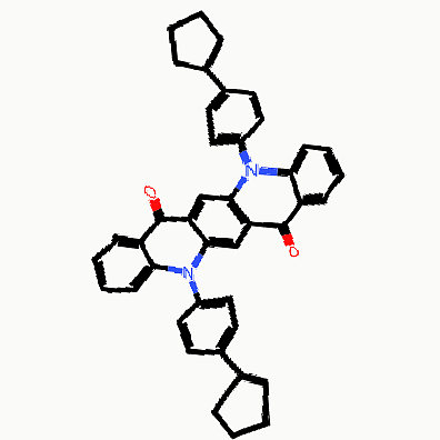 O=c1c2ccccc2n(-c2ccc(C3CCCC3)cc2)c2cc3c(=O)c4ccccc4n(-c4ccc(C5CCCC5)cc4)c3cc12